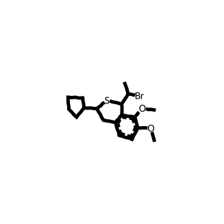 COc1ccc2c(c1OC)C(C(C)Br)SC(C1CCCC1)C2